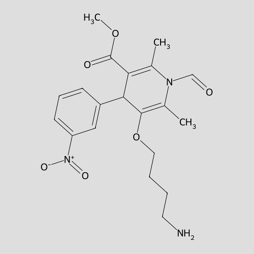 COC(=O)C1=C(C)N(C=O)C(C)=C(OCCCCN)C1c1cccc([N+](=O)[O-])c1